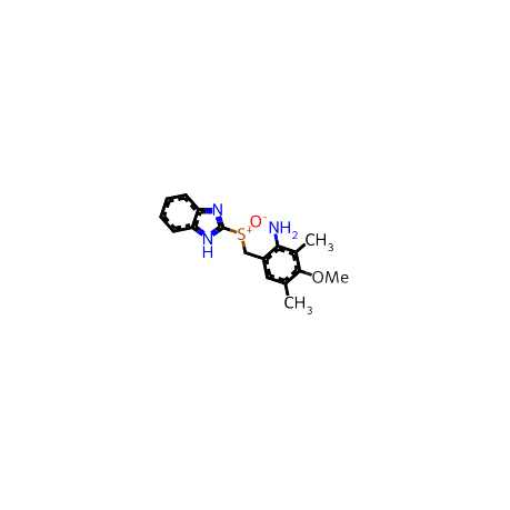 COc1c(C)cc(C[S+]([O-])c2nc3ccccc3[nH]2)c(N)c1C